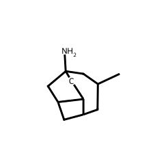 CC1CC2CC3CC(N)(C1)CC23